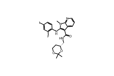 Cn1c(Nc2ccc(I)cc2F)c(C(=O)NC[C@H]2CCOC(C)(C)O2)c2cccnc21